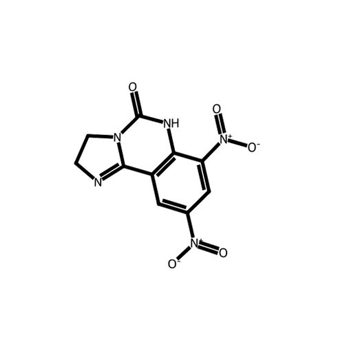 O=C1Nc2c(cc([N+](=O)[O-])cc2[N+](=O)[O-])C2=NCCN12